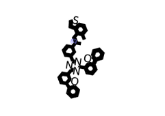 C/C(=C\c1c(C)ccc2sccc12)C1C=CC=C(c2nc(C3=CC=CC4c5ccccc5OC34)nc(-c3cccc4c3oc3ccccc34)n2)C1